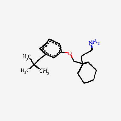 CC(C)(C)c1cccc(OCC2(CCN)CCCCC2)c1